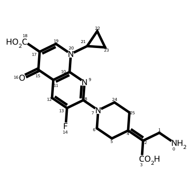 NCC(C(=O)O)=C1CCN(c2nc3c(cc2F)c(=O)c(C(=O)O)cn3C2CC2)CC1